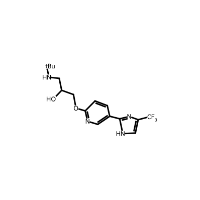 CC(C)(C)NCC(O)COc1ccc(-c2nc(C(F)(F)F)c[nH]2)cn1